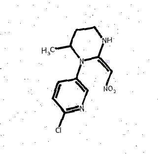 CC1CCN/C(=C/[N+](=O)[O-])N1c1ccc(Cl)nc1